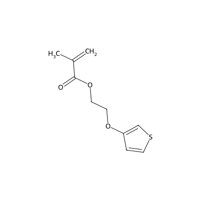 C=C(C)C(=O)OCCOc1ccsc1